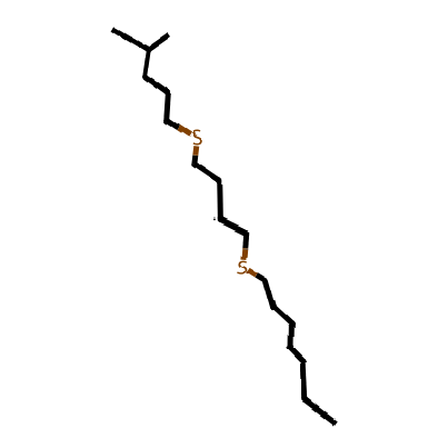 CCCCCCCSC[CH]CCSCCCC(C)C